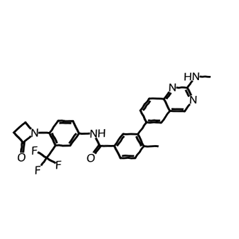 CNc1ncc2cc(-c3cc(C(=O)Nc4ccc(N5CCC5=O)c(C(F)(F)F)c4)ccc3C)ccc2n1